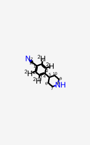 [2H]c1c([2H])c(C2CCNCC2)c([2H])c([2H])c1C#N